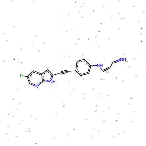 N=C/C=C\Nc1ccc(C#Cc2cc3cc(F)cnc3[nH]2)cc1